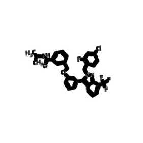 CC(C)NC(=O)c1cccc(COc2cccc(-c3c4cccc(C(F)(F)F)c4nn3Cc3ccc(Cl)cc3F)c2)c1